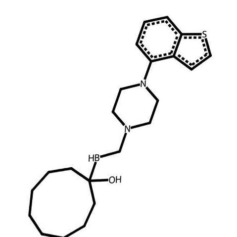 OC1(BCN2CCN(c3cccc4sccc34)CC2)CCCCCCCC1